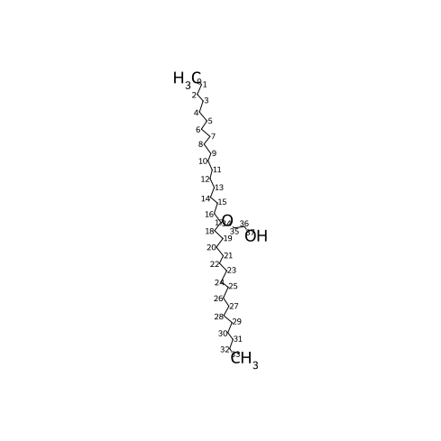 CCCCCCCCCCCCCCCCCC(CCCCCCCCCCCCCCCC)OCCO